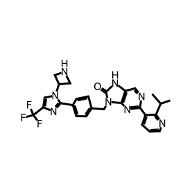 CC(C)c1ncccc1-c1ncc2[nH]c(=O)n(Cc3ccc(-c4nc(C(F)(F)F)cn4C4CNC4)cc3)c2n1